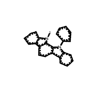 In1c2ccccc2c2ccc3c4ccccc4n(-c4ccccc4)c3c21